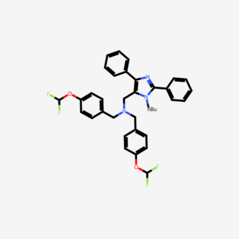 CCCCn1c(-c2ccccc2)nc(-c2ccccc2)c1CN(Cc1ccc(OC(F)F)cc1)Cc1ccc(OC(F)F)cc1